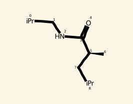 CC(C)CNC(=O)[C@@H](C)CC(C)C